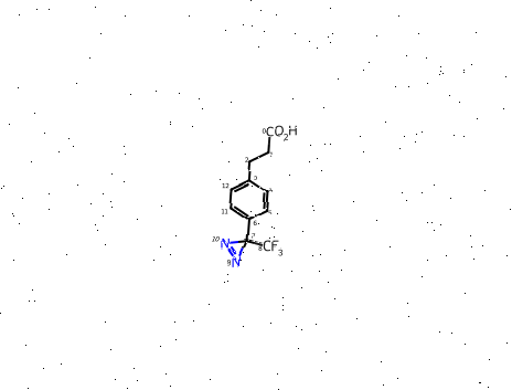 O=C(O)CCc1ccc(C2(C(F)(F)F)N=N2)cc1